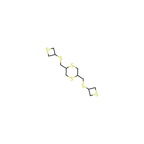 C1SCC1SCC1CSC(CSC2CSC2)CS1